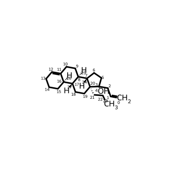 C=CC[C@]1(O)CC[C@H]2[C@@H]3CCC4=CCCC[C@@H]4[C@H]3CC[C@@]21CCC